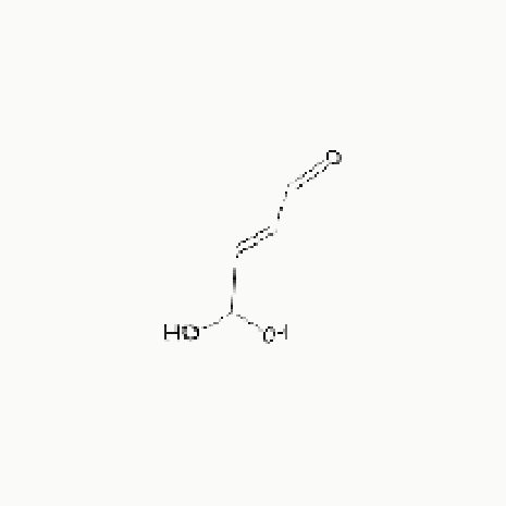 O=CC=CC(O)O